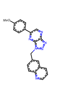 COc1ccc(-c2cnc3nnn(Cc4ccc5ncccc5c4)c3n2)cc1